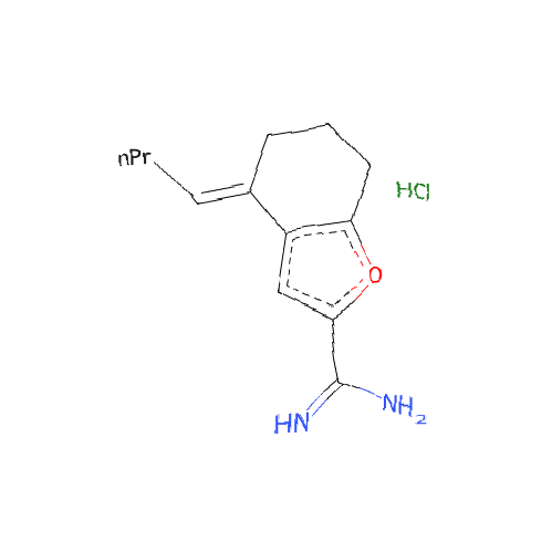 CCCC=C1CCCc2oc(C(=N)N)cc21.Cl